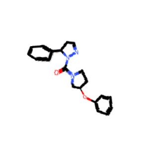 O=C(N1CC[C@@H](Oc2ccccc2)C1)N1N=CCC1c1ccccc1